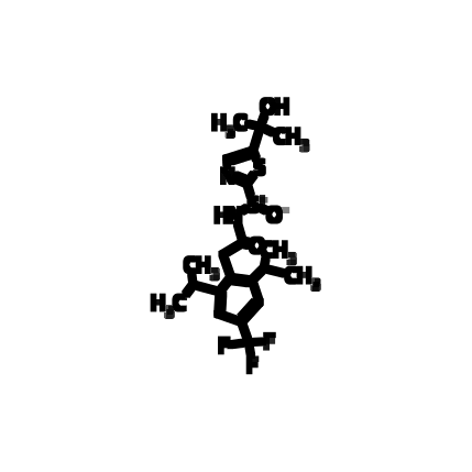 CC(C)c1cc(C(F)(F)F)cc(C(C)C)c1CC(=O)N[S+]([O-])c1ncc(C(C)(C)O)s1